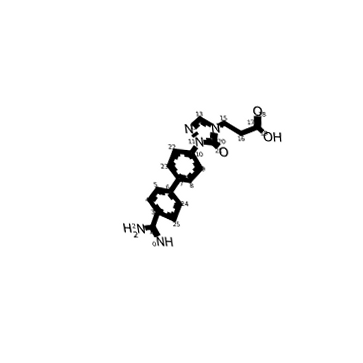 N=C(N)c1ccc(-c2ccc(-n3ncn(CCC(=O)O)c3=O)cc2)cc1